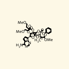 COCCC(=O)O[C@H]1[C@H](c2ccc3c(N)ncnn23)O[C@]2(C)C(O[P@@](=O)(N[C@@H](C)C(=O)OC)Oc3ccccc3)[C@]12OC(=O)CCOC